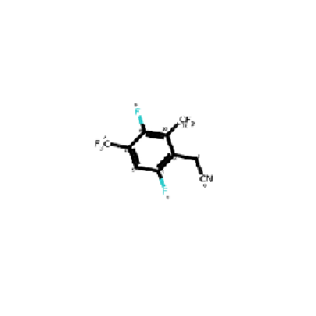 N#CCc1c(F)cc(C(F)(F)F)c(F)c1C(F)(F)F